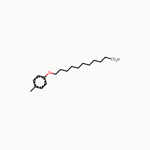 Cc1ccc(OCCCCCCCCCCC(=O)O)cc1